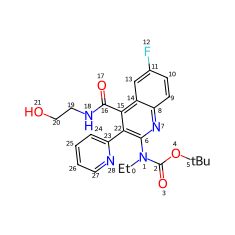 CCN(C(=O)OC(C)(C)C)c1nc2ccc(F)cc2c(C(=O)NCCO)c1-c1ccccn1